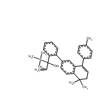 C=CC(O)(c1ccccc1-c1ccc2c(c1)C(c1ccc(C)cc1)=CCC2(C)C)[Si](C)(C)C